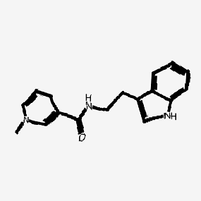 CN1C=CCC(C(=O)NCCc2c[nH]c3ccccc23)=C1